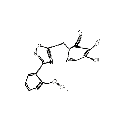 COc1ccccc1-c1noc(Cn2ncc(Cl)c(Cl)c2=O)n1